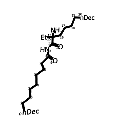 CCCCCCCCCCCCCCCCCC(=O)NC(=O)C(N)(CC)CCCCCCCCCCCCCC